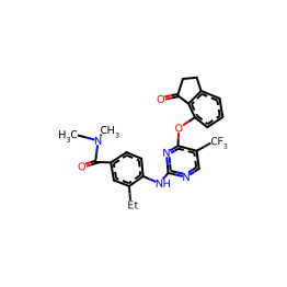 CCc1cc(C(=O)N(C)C)ccc1Nc1ncc(C(F)(F)F)c(Oc2cccc3c2C(=O)CC3)n1